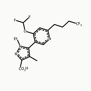 CCn1nc(C(=O)O)c(C)c1-c1cnc(CCCC(F)(F)F)cc1OC(F)F